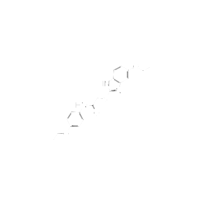 CCOc1ccc(NC(=O)CSc2nc3cc(OCC)ccc3[nH]2)cc1